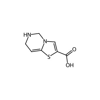 O=C(O)C1=CN2CNCC=C2S1